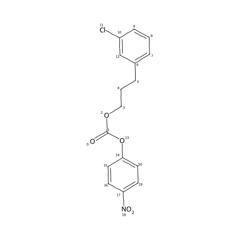 O=C(OCCCc1cccc(Cl)c1)Oc1ccc([N+](=O)[O-])cc1